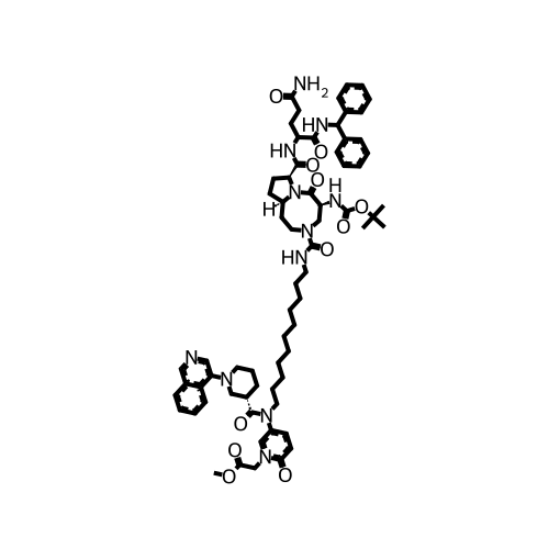 COC(=O)Cn1cc(N(CCCCCCCCCCCNC(=O)N2CC[C@H]3CC[C@@H](C(=O)NC(CCC(N)=O)C(=O)NC(c4ccccc4)c4ccccc4)N3C(=O)[C@@H](NC(=O)OC(C)(C)C)C2)C(=O)[C@H]2CCCN(c3cncc4ccccc34)C2)ccc1=O